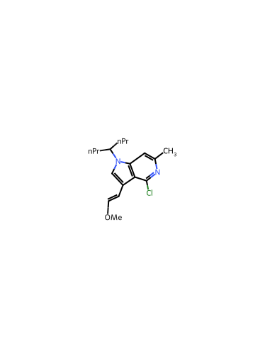 CCCC(CCC)n1cc(C=COC)c2c(Cl)nc(C)cc21